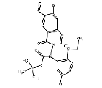 CC[S+]([O-])c1ccc(Cl)cc1N(C(=O)OC(C)(C)C)n1cnc2cc(Br)c(C=O)cc2c1=O